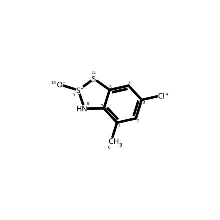 Cc1cc(Cl)cc2c1N[S+]([O-])S2